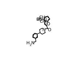 C[SH](C)(=O)c1cccc2oc(C(=O)N3CCC(c4cccc(CN)c4)CC3)cc12